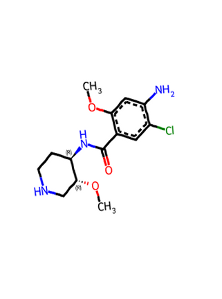 COc1cc(N)c(Cl)cc1C(=O)N[C@@H]1CCNC[C@H]1OC